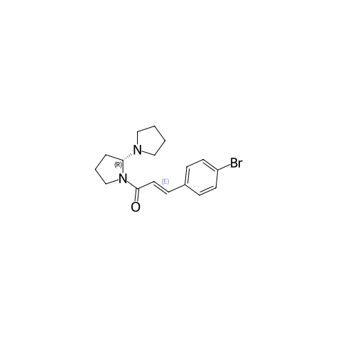 O=C(/C=C/c1ccc(Br)cc1)N1CCC[C@@H]1N1CCCC1